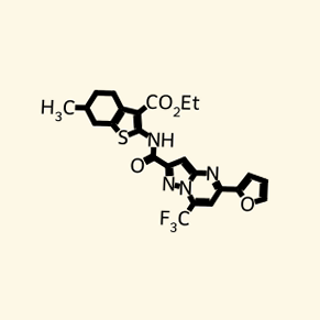 CCOC(=O)c1c(NC(=O)c2cc3nc(-c4ccco4)cc(C(F)(F)F)n3n2)sc2c1CCC(C)C2